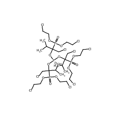 CC(C)C(CCl)(OP(=O)(OC(CCl)(C(C)C)P(=O)(OCCCl)OCCCl)OC(CCl)(C(C)C)P(=O)(OCCCl)OCCCl)P(=O)(OCCCl)OCCCl